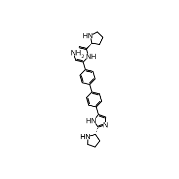 C=C(N/C(=C\N)c1ccc(-c2ccc(-c3cnc([C@@H]4CCCN4)[nH]3)cc2)cc1)[C@@H]1CCCN1